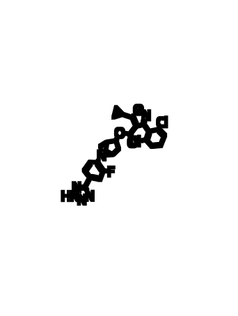 O=C(OC1CC2CC1CN2c1ccc(-c2nn[nH]n2)cc1F)c1c(-c2c(Cl)cccc2Cl)noc1C1CC1